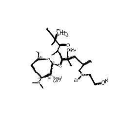 CCN(CCO)CC(C)CC(C)(OC)C(O[C@@H]1O[C@H](C)C[C@H](N(C)C)[C@H]1O)C(C)C(=O)C(C)(C)C=O